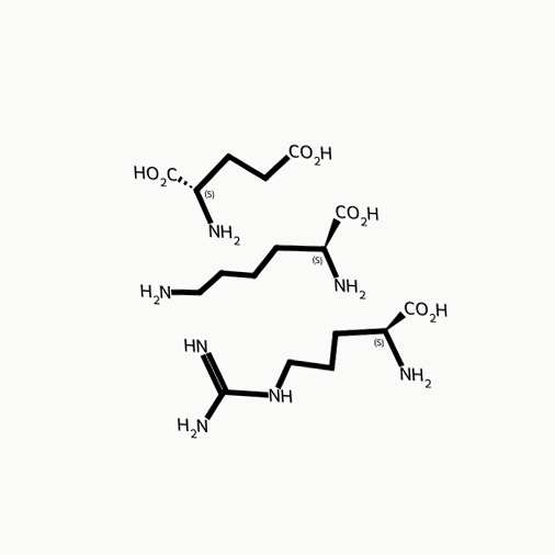 N=C(N)NCCC[C@H](N)C(=O)O.NCCCC[C@H](N)C(=O)O.N[C@@H](CCC(=O)O)C(=O)O